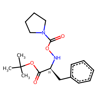 CC(C)(C)OC(=O)[C@H](Cc1ccccc1)NOC(=O)N1CCCC1